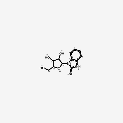 N=c1[nH]c2ccccc2n1C1OC(CO)C(O)C1O